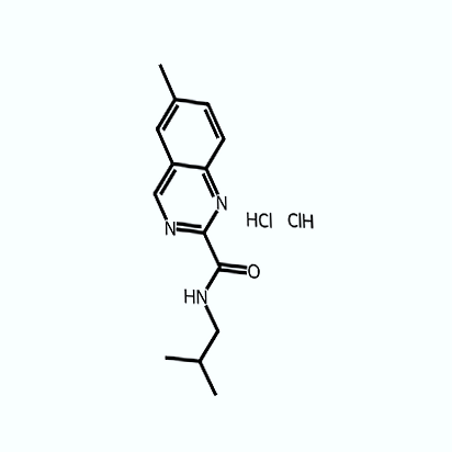 Cc1ccc2nc(C(=O)NCC(C)C)ncc2c1.Cl.Cl